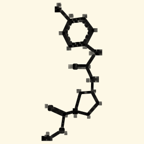 CCCCOC(=O)N1CCC(NC(=O)Nc2ccc(Br)cc2)C1